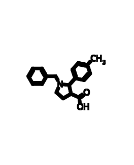 Cc1ccc(C2C(C(=O)O)CCN2Cc2ccccc2)cc1